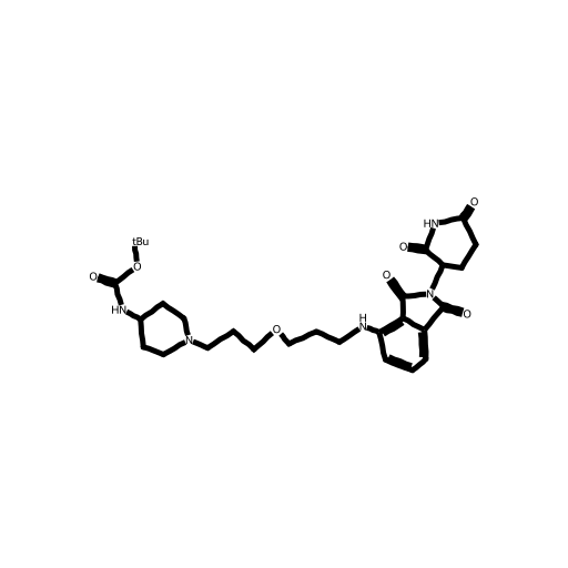 CC(C)(C)OC(=O)NC1CCN(CCCOCCCNc2cccc3c2C(=O)N(C2CCC(=O)NC2=O)C3=O)CC1